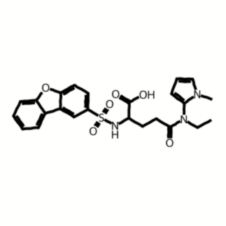 CCN(C(=O)CCC(NS(=O)(=O)c1ccc2oc3ccccc3c2c1)C(=O)O)c1cccn1C